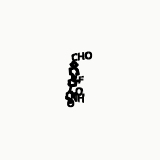 O=CC1CC2(CCN(c3ccc(C4CCC(=O)NC4=O)cc3F)CC2)C1